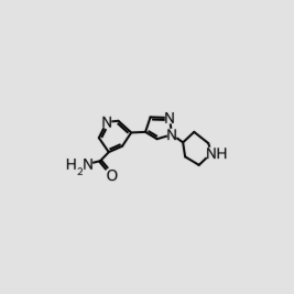 NC(=O)c1cncc(-c2cnn(C3CCNCC3)c2)c1